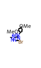 COc1ccc(CNc2nc(Br)cn3nc(C)nc23)c(OC)c1